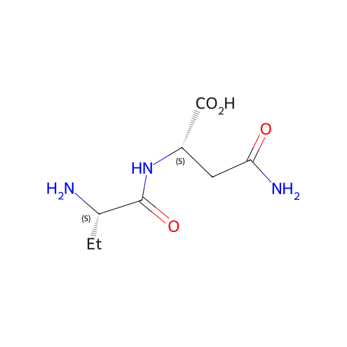 CC[C@H](N)C(=O)N[C@@H](CC(N)=O)C(=O)O